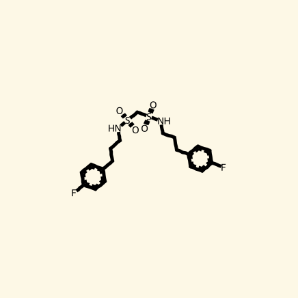 O=S(=O)(CS(=O)(=O)NCCCc1ccc(F)cc1)NCCCc1ccc(F)cc1